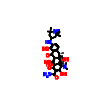 C[C@H]1c2ccc(NC3CC(C)(C)NC(C)(C)C3)c(O)c2C(=O)C2=C(O)[C@]3(O)C(=O)C(C(N)=O)=C(O)[C@@H](N(C)C)[C@@H]3[C@@H](O)[C@@H]21